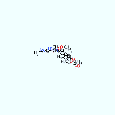 Cc1cn(-c2ccc(C(=O)NC(C)(C)CNC(=O)C[C@@]34CC[C@]5(C)[C@H](CC[C@@H]6[C@@]7(C)CC[C@H](OC(=O)[C@H]8C[C@@H](C(=O)O)C8(C)C)C(C)(C)[C@@H]7CC[C@]65C)C3=C(C(C)C)C(=O)C4)cc2)cn1